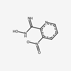 N=C(NO)c1ncccc1[N+](=O)[O-]